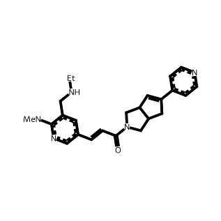 CCNCc1cc(/C=C/C(=O)N2CC3C=C(c4ccncc4)CC3C2)cnc1NC